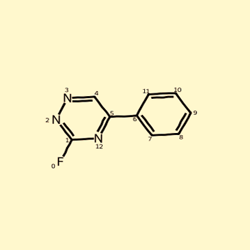 Fc1nncc(-c2ccccc2)n1